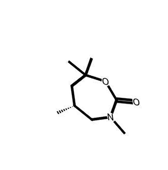 C[C@H]1CN(C)C(=O)OC(C)(C)C1